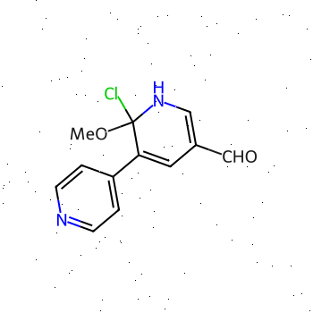 COC1(Cl)NC=C(C=O)C=C1c1ccncc1